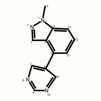 Cn1ncc2c(-c3cncnc3)cccc21